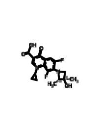 C[C@@H]1N(c2c(F)cc3c(=O)c(C(=O)O)cn(C4CC4)c3c2F)C[C@@]1(C)O